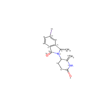 C=C1NC(=O)CCC1N1C(=C)c2cc(I)ccc2C1=O